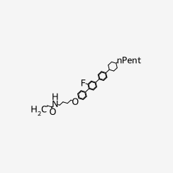 C=CC(=O)NCCCCOc1ccc(-c2ccc(-c3ccc(C4CCC(CCCCC)CC4)cc3)cc2F)cc1